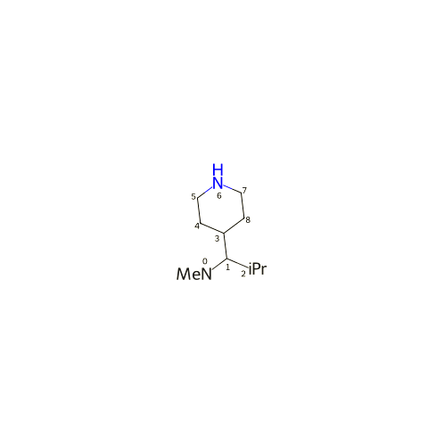 CNC(C(C)C)C1CCNCC1